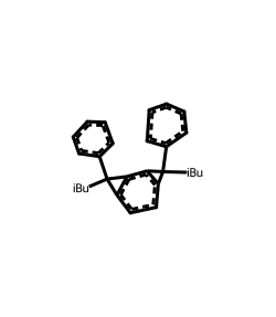 CCC(C)C1(c2ccccc2)c2ccc3c(c21)C3(c1ccccc1)C(C)CC